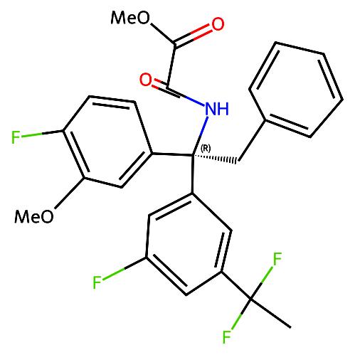 COC(=O)C(=O)N[C@@](Cc1ccccc1)(c1cc(F)cc(C(C)(F)F)c1)c1ccc(F)c(OC)c1